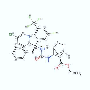 CCOC(=O)[C@@H]1[C@@H]2CC[C@@H](C2)[C@@H]1NC(=O)N[C@@](Cc1ccccc1)(c1cc(F)cc(C(F)(F)F)c1)c1ccc(Cl)cn1